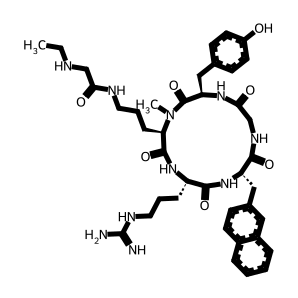 CCNCC(=O)NCCC[C@@H]1C(=O)N[C@@H](CCCNC(=N)N)C(=O)N[C@@H](Cc2ccc3ccccc3c2)C(=O)NCC(=O)N[C@H](Cc2ccc(O)cc2)C(=O)N1C